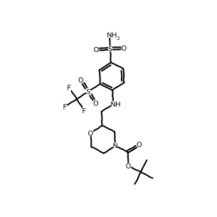 CC(C)(C)OC(=O)N1CCOC(CNc2ccc(S(N)(=O)=O)cc2S(=O)(=O)C(F)(F)F)C1